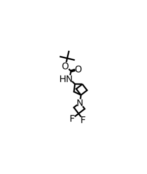 CC(C)(C)OC(=O)NC1CC2(N3CC(F)(F)C3)CC1C2